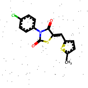 Cc1ccc(C=C2SC(=O)N(c3ccc(Cl)cc3)C2=O)s1